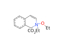 CCOC(=O)[N+]1(OCC)C=Cc2ccccc2C1